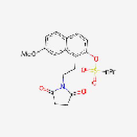 CCCS(=O)(=O)Oc1ccc2ccc(OC)cc2c1CCN1C(=O)CCC1=O